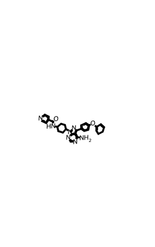 Nc1ncnc2c1c(-c1ccc(OC3=CCCC=C3)cc1)nn2C1CCC(NC(=O)c2ccncc2)CC1